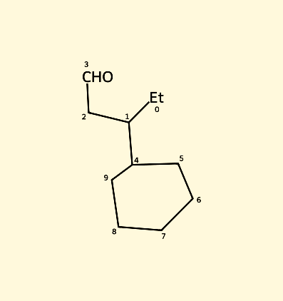 CCC(CC=O)C1CCCCC1